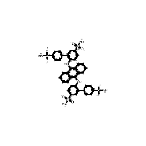 O=S(=O)(O)c1ccc(-c2cc(S(=O)(=O)O)ccc2Oc2c3ccccc3c(Oc3ccc(S(=O)(=O)O)cc3-c3ccc(S(=O)(=O)O)cc3)c3ccccc23)cc1